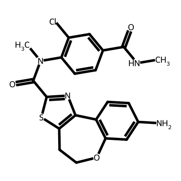 CNC(=O)c1ccc(N(C)C(=O)c2nc3c(s2)CCOc2cc(N)ccc2-3)c(Cl)c1